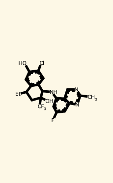 CCC1CC(O)(C(F)(F)F)C(Nc2cc(F)cc3nc(C)ncc23)c2cc(Cl)c(O)cc21